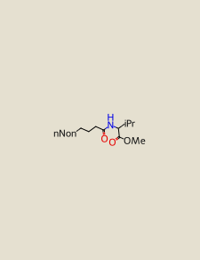 CCCCCCCCCCCCC(=O)NC(C(=O)OC)C(C)C